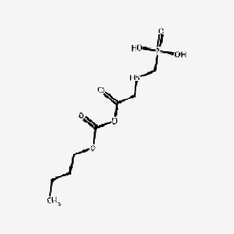 CCCCOC(=O)OC(=O)CNCP(=O)(O)O